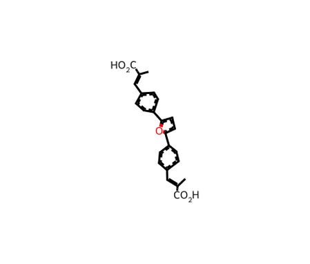 C/C(=C\c1ccc(-c2ccc(-c3ccc(/C=C(\C)C(=O)O)cc3)o2)cc1)C(=O)O